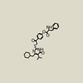 CC(C)c1c(CC2CCCCC2)nc(SCC(=O)c2ccc(OC(=O)C(N)Cc3ccccc3)cc2)[nH]c1=O